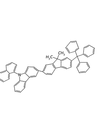 CC1(C)c2cc(-c3ccc4c(c3)c3ccccc3n4-c3cccc4ccccc34)ccc2-c2ccc(C(c3ccccc3)(c3ccccc3)c3ccccc3)cc21